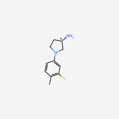 Cc1ccc(N2CC[C@@H](N)C2)cc1F